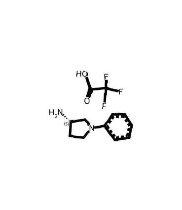 N[C@H]1CCN(c2ccccc2)C1.O=C(O)C(F)(F)F